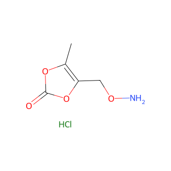 Cc1oc(=O)oc1CON.Cl